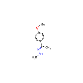 BN/N=C(\C)c1ccc(OCCCC)cc1